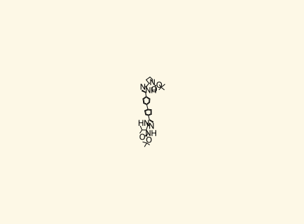 CC(C)[C@H](NC(=O)OC(C)(C)C)c1ncc(-c2ccc(-c3ccc(-c4cnc(C5CCCN5C(=O)OC(C)(C)C)[nH]4)cc3)cc2)[nH]1